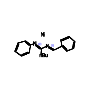 CCCCC(/N=C/c1ccccc1)=N\c1ccccc1.[Ni]